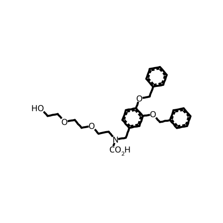 O=C(O)N(CCOCCOCCO)Cc1ccc(OCc2ccccc2)c(OCc2ccccc2)c1